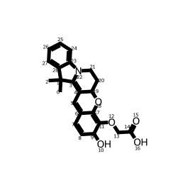 CC1(C)C2=C3C=C4C=CC(O)C(OCC(=O)O)=C4OC3CCN2c2ccccc21